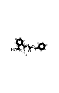 NC(=NC(=O)OCc1ccccc1)c1ccccc1C(=O)O